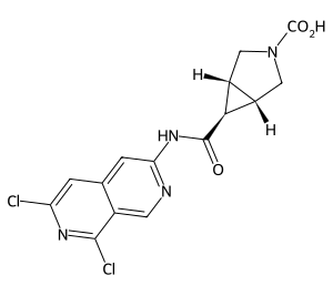 O=C(Nc1cc2cc(Cl)nc(Cl)c2cn1)[C@H]1[C@@H]2CN(C(=O)O)C[C@@H]21